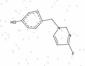 Oc1ccc(CN2C=CC(F)=NC2)cc1